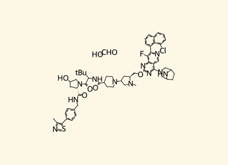 Cc1ncsc1-c1ccc(CNC(=O)[C@@H]2C[C@@H](O)CN2C(=O)C(NC(=O)C2CCN([C@H]3C[C@@H](COc4nc(N5CC6CCC(C5)N6)c5cnc(-c6cccc7cccc(Cl)c67)c(F)c5n4)N(C)C3)CC2)C(C)(C)C)cc1.O=CO